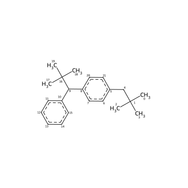 CC(C)(C)Cc1ccc(C(c2ccccc2)C(C)(C)C)cc1